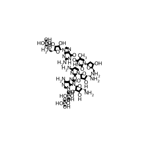 Cc1cn([C@H]2C[C@H](O)[C@@H](CN)O2)c(=O)[nH]c1=O.NC[C@H]1O[C@@H](n2ccc(N)nc2=O)[C@H](O)[C@@H]1O.NC[C@H]1O[C@@H](n2cnc3c(=O)[nH]c(N)nc32)[C@H](O)[C@@H]1O.NC[C@H]1O[C@@H](n2cnc3c(N)ncnc32)[C@H](O)[C@@H]1O.O=P(O)(O)O.O=P(O)(O)O.O=P(O)(O)O